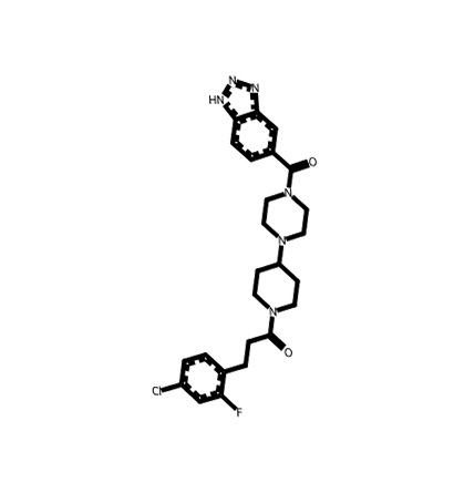 O=C(CCc1ccc(Cl)cc1F)N1CCC(N2CCN(C(=O)c3ccc4[nH]nnc4c3)CC2)CC1